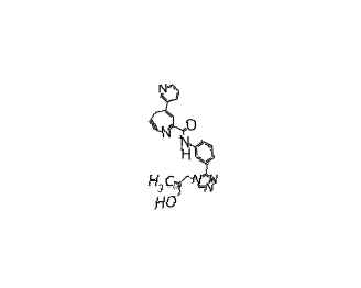 C[C@H](CO)Cn1cnnc1-c1cccc(NC(=O)C2=NC#CCC(c3cccnc3)=C2)c1